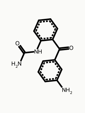 NC(=O)Nc1ccccc1C(=O)c1cccc(N)c1